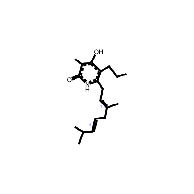 CCCc1c(C/C=C(\C)C/C=C/C(C)C)[nH]c(=O)c(C)c1O